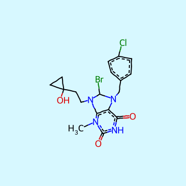 Cn1c2c(c(=O)[nH]c1=O)N(Cc1ccc(Cl)cc1)C(Br)N2CCC1(O)CC1